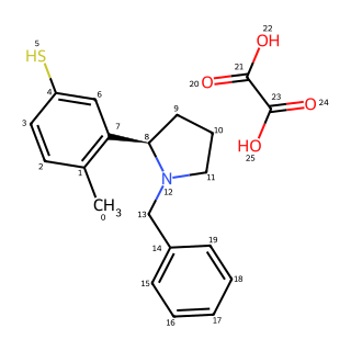 Cc1ccc(S)cc1[C@H]1CCCN1Cc1ccccc1.O=C(O)C(=O)O